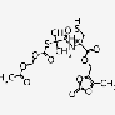 CC(=O)OCOC(=O)SC(C)(C)C(=O)N[C@@H](CS)C(=O)OCc1oc(=O)oc1C